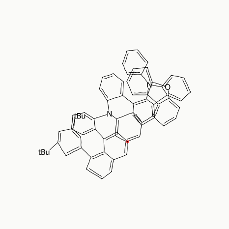 CC(C)(C)c1cc(-c2cccc3cccc(-c4ccccc4N(c4cccc(-c5cccc6oc7ccccc7c56)c4)c4ccccc4-c4cccc5c6ccccc6n(-c6ccccc6)c45)c23)cc(C(C)(C)C)c1